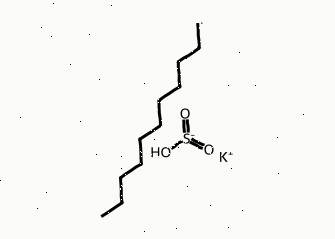 O=[S-](=O)O.[CH2]CCCCCCCCCC.[K+]